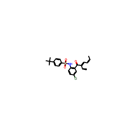 C=C/C(=C\C=C/C)C(=O)c1cc(Cl)ccc1NS(=O)(=O)c1ccc(C(C)(C)C)cc1